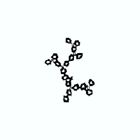 CC1(C)c2cc(-c3ccc(N(c4ccc(-c5ccc(N(c6ccccc6)c6ccc7c(c6)C6C=CC=CC6N7c6ccccc6)cc5)cc4)c4ccc5c(c4)c4ccccc4n5-c4ccccc4)cc3)ccc2-c2ccc(N(c3ccc(-c4ccccc4)cc3)c3ccc(-c4ccc5c(c4)c4ccccc4n5-c4ccccc4)cc3)cc21